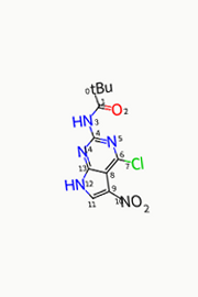 CC(C)(C)C(=O)Nc1nc(Cl)c2c([N+](=O)[O-])c[nH]c2n1